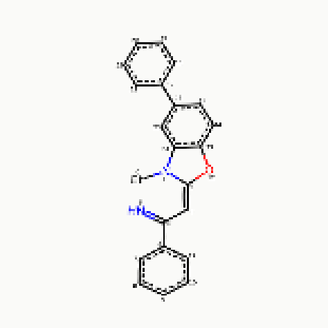 CCN1C(=CC(=N)c2ccccc2)Oc2ccc(-c3ccccc3)cc21